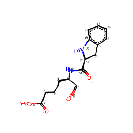 O=CC(CCCC(=O)O)NC(=O)[C@@H]1Cc2ccccc2N1